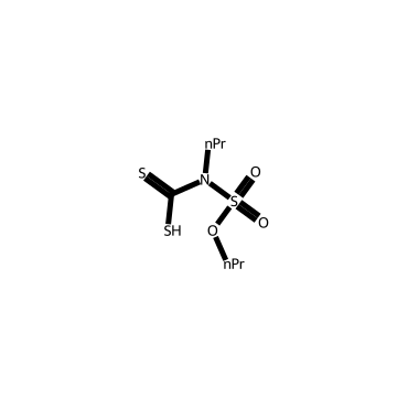 CCCOS(=O)(=O)N(CCC)C(=S)S